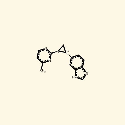 Cc1ccnc([C@H]2C[C@@H]2c2ccc3nc[nH]c3n2)n1